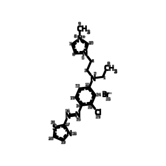 CCN(CCn1cc[n+](C)c1)c1ccc(N=Nc2nccs2)c(Cl)c1.[Br-]